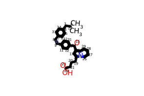 CC(C)Cc1ccc(/C=C\c2ccc(C(=O)c3cc(CCCC(=O)O)n4ccccc34)cc2)cc1